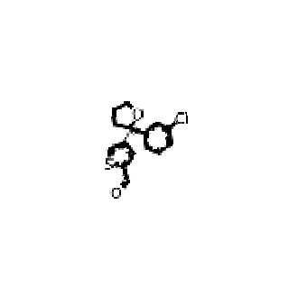 O=Cc1cc([C@]2(c3cccc(Cl)c3)CCCO2)cs1